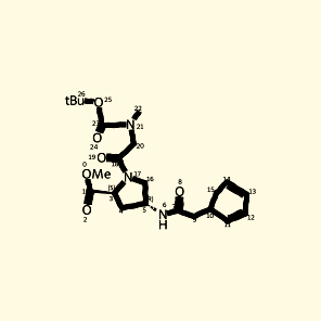 COC(=O)[C@@H]1C[C@@H](NC(=O)CC2C=CC=CC2)CN1C(=O)CN(C)C(=O)OC(C)(C)C